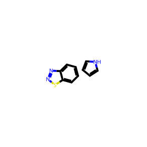 c1cc[nH]c1.c1ccc2snnc2c1